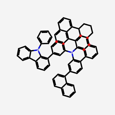 c1ccc(-c2ccc(-c3cccc4ccccc34)cc2N(c2cccc(-c3cccc4c5ccccc5n(-c5ccccc5)c34)c2)c2ccccc2-c2cccc3cccc(C4CCCCC4)c23)cc1